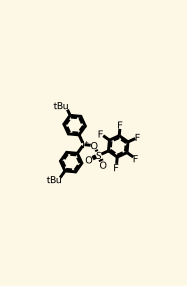 CC(C)(C)c1ccc([I+](OS(=O)(=O)c2c(F)c(F)c(F)c(F)c2F)c2ccc(C(C)(C)C)cc2)cc1